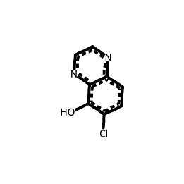 Oc1c(Cl)ccc2nccnc12